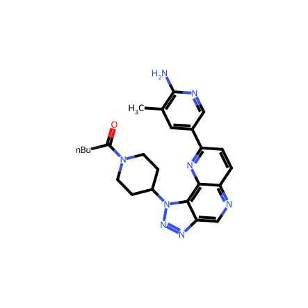 CCCCC(=O)N1CCC(n2nnc3cnc4ccc(-c5cnc(N)c(C)c5)nc4c32)CC1